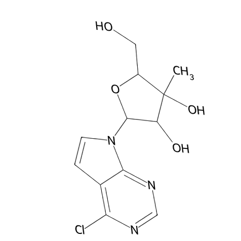 CC1(O)C(CO)OC(n2ccc3c(Cl)ncnc32)C1O